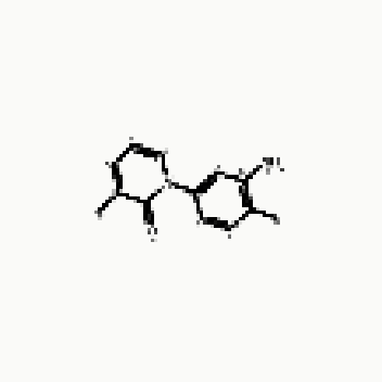 Cc1ccc(-n2cccc(C)c2=O)cc1N